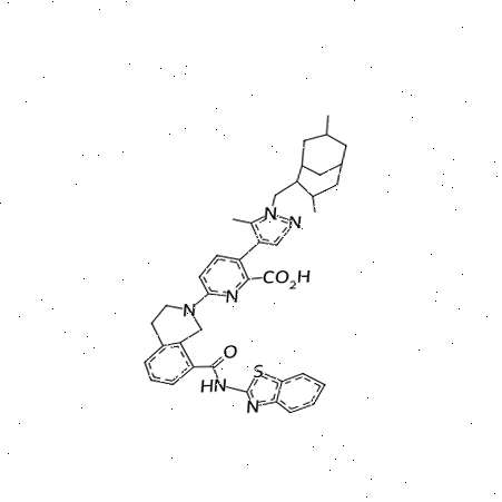 Cc1c(-c2ccc(N3CCc4cccc(C(=O)Nc5nc6ccccc6s5)c4C3)nc2C(=O)O)cnn1CC1C(C)CC2CC(C)CC1C2